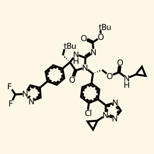 CC(C)(C)C[C@]1(c2ccc(-c3cnn(C(F)F)c3)cc2)N/C(=N\C(=O)OC(C)(C)C)N([C@H](COC(=O)NC2CC2)c2ccc(Cl)c(-c3ncnn3C3CC3)c2)C1=O